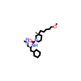 CNC[C@H](CC1CCCCC1)NC(=O)N1CCC[C@@](C)(CCCCCOC)C1